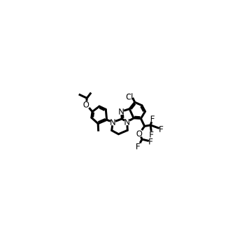 Cc1cc(OC(C)C)ccc1N1CCCn2c1nc1c(Cl)ccc(C(OC(F)F)C(F)(F)F)c12